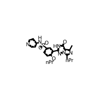 CCCOc1ccc(S(=O)(=O)Nc2ccncc2)cc1-c1nn2c(CCC)nc(C)c2c(=O)[nH]1